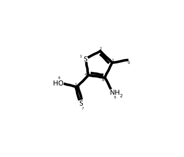 Cc1csc(C(O)=S)c1N